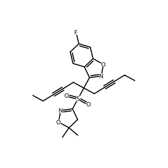 CCC#CCC(CC#CCC)(c1noc2cc(F)ccc12)S(=O)(=O)C1=NOC(C)(C)C1